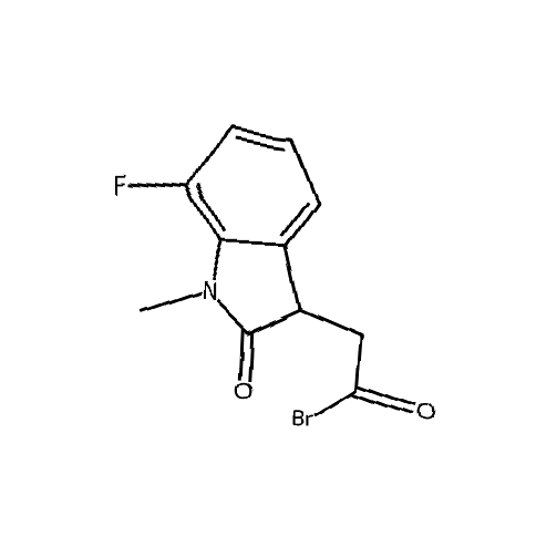 CN1C(=O)C(CC(=O)Br)c2cccc(F)c21